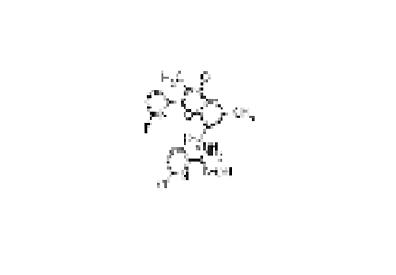 Cc1cc([C@@H](C)Oc2ccc(Cl)nc2C(N)=NO)c2oc(-c3cccc(F)n3)c(C)c(=O)c2c1